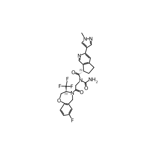 Cn1cc(-c2cc3c(cn2)[C@@H](C(=O)N(CC(=O)N2Cc4cc(F)ccc4OC[C@H]2C(F)(F)F)C(N)=O)CC3)cn1